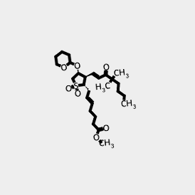 CCCCC(C)(C)C(=O)C=C[C@@H]1[C@@H](OC2CCCCO2)CS(=O)(=O)[C@H]1CC=CCCCC(=O)OC